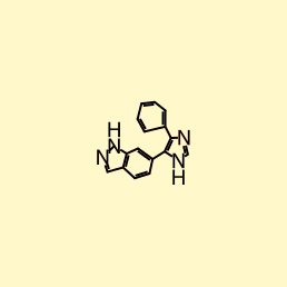 c1ccc(-c2nc[nH]c2-c2ccc3cn[nH]c3c2)cc1